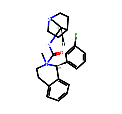 C[N+]1(C(=O)N[C@@H]2CN3CCC2CC3)CCc2ccccc2[C@@H]1c1cccc(F)c1